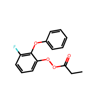 CCC(=O)OOc1cccc(F)c1Oc1ccccc1